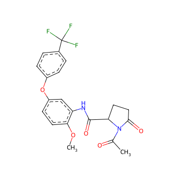 COc1ccc(Oc2ccc(C(F)(F)F)cc2)cc1NC(=O)C1CCC(=O)N1C(C)=O